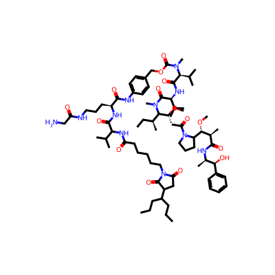 CCCC(CCC)C1CC(=O)N(CCCCCC(=O)NC(C(=O)N[C@@H](CCCNC(=O)CN)C(=O)Nc2ccc(COC(=O)N(C)[C@H](C(=O)N[C@H](C(=O)N(C)C([C@@H](C)CC)[C@@H](CC(=O)N3CCCC3[C@H](OC)[C@@H](C)C(=O)N[C@H](C)[C@@H](O)c3ccccc3)OC)C(C)C)C(C)C)cc2)C(C)C)C1=O